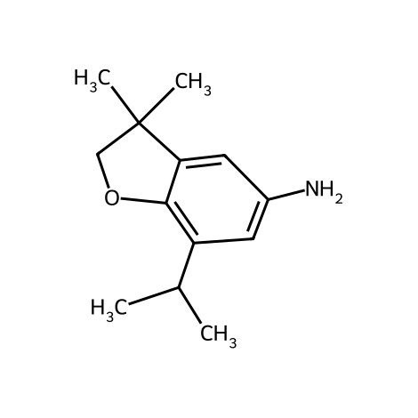 CC(C)c1cc(N)cc2c1OCC2(C)C